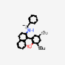 C[C@H](Nc1ccc2ccccc2c1-c1cc(C(C)(C)C)cc(C(C)(C)C)c1O)c1ccccc1